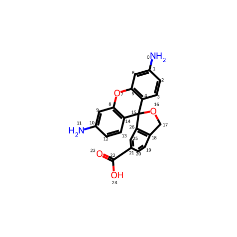 Nc1ccc2c(c1)Oc1cc(N)ccc1C21OCc2ccc(C(=O)O)cc21